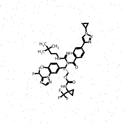 CC(C)(C)CCNC(=N)N(C(=O)c1ccc(-c2cn(C3CC3)nn2)cc1)[C@H](COC(=O)NC1(C(F)(F)F)CC1)c1ccc(Cl)c(-n2ncnc2C(F)F)c1